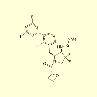 CNSN[C@@H]1[C@H](Cc2cccc(-c3cc(F)cc(F)c3)c2F)N(C(=O)[C@H]2CCO2)CC1(F)F